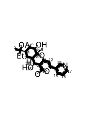 CCC(C)(OC(C)=O)[C@H]1C[C@@H](O)[C@]2(C)Oc3cc(-c4cccnc4)oc(=O)c3[C@H](O)[C@H]2C1